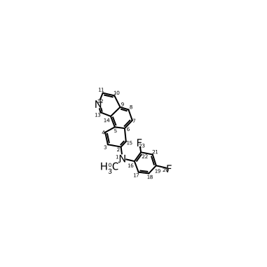 CN(c1ccc2c(ccc3ccncc32)c1)c1ccc(F)cc1F